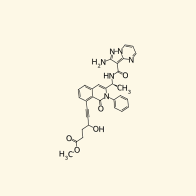 COC(=O)CCC(O)C#Cc1cccc2cc([C@H](C)NC(=O)c3c(N)nn4cccnc34)n(-c3ccccc3)c(=O)c12